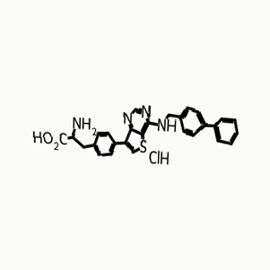 Cl.NC(Cc1ccc(-c2csc3c(NCc4ccc(-c5ccccc5)cc4)ncnc23)cc1)C(=O)O